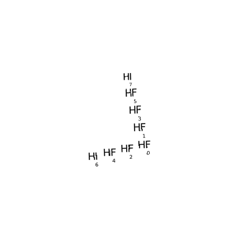 F.F.F.F.F.F.I.I